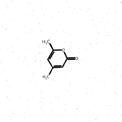 Cc1cc(C)oc(=O)c1